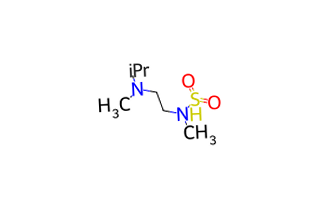 CC(C)N(C)CCN(C)[SH](=O)=O